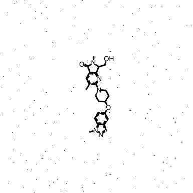 Cc1cc2c(nc1N1CCC(Oc3ccc4c(cnn4C)c3)CC1)C(CO)N(C)C2=O